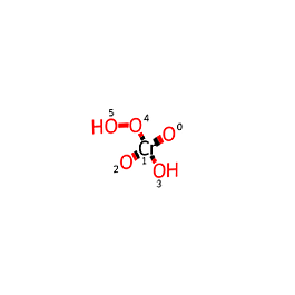 [O]=[Cr](=[O])([OH])[O]O